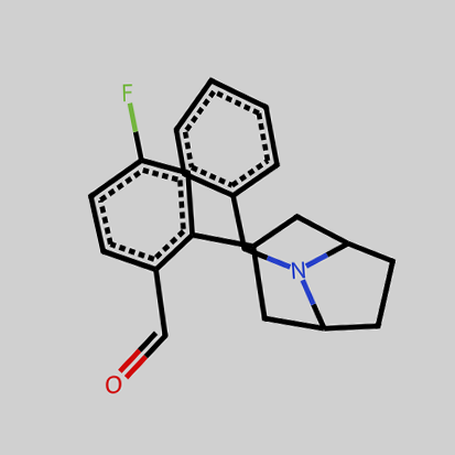 O=Cc1ccc(F)cc1C1CC2CCC(C1)N2Cc1ccccc1